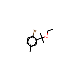 CCOC(C)(C)c1cc(C)ccc1Br